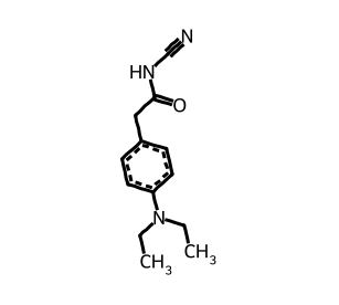 CCN(CC)c1ccc(CC(=O)NC#N)cc1